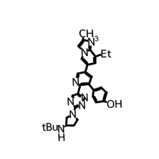 CCc1cc(-c2cnc(-c3cnc(N4CC[C@@H](NC(C)(C)C)C4)nn3)c(-c3ccc(O)cc3)c2)cn2cc(C)nc12